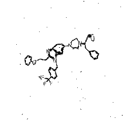 O=CC(c1ccccc1)N1CCN(c2ccc3nc(CCOc4ccccc4)n(Cc4ccc(C(F)(F)F)cc4)c3c2)CC1